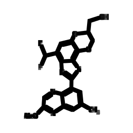 COc1cnc2c(-c3nc4c(C(F)F)cc5c(c4s3)OCC(CO)O5)cc(C)cc2n1